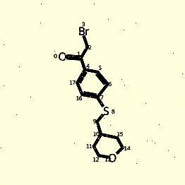 O=C(CBr)c1ccc(SCC2CCOCC2)cc1